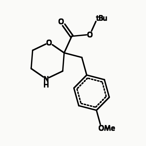 COc1ccc(CC2(C(=O)OC(C)(C)C)CNCCO2)cc1